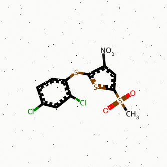 CS(=O)(=O)c1cc([N+](=O)[O-])c(Sc2ccc(Cl)cc2Cl)s1